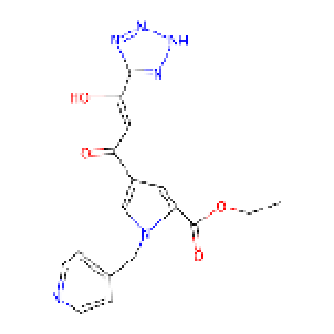 CCOC(=O)c1cc(C(=O)C=C(O)c2nn[nH]n2)cn1Cc1ccncc1